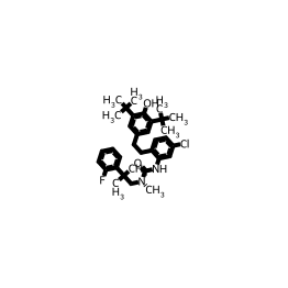 CN(CC(C)(C)c1ccccc1F)C(=O)Nc1cc(Cl)ccc1CCc1cc(C(C)(C)C)c(O)c(C(C)(C)C)c1